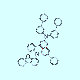 c1ccc(-c2cccc(N(c3cccc(-c4ccccc4)c3)c3cccc(-c4ccccc4N(c4cccc(-c5ccccc5)c4)c4cccc5c4oc4ccccc45)c3)c2)cc1